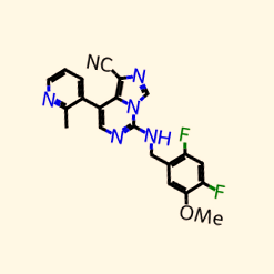 COc1cc(CNc2ncc(-c3cccnc3C)c3c(C#N)ncn23)c(F)cc1F